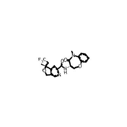 CN1C(=O)[C@@H](NC(=O)c2cc3c(cn2)CO[C@]3(C)CC(F)(F)F)COc2ccccc21